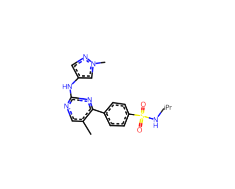 Cc1cnc(Nc2cnn(C)c2)nc1-c1ccc(S(=O)(=O)NC(C)C)cc1